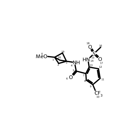 COC12CC(NC(=O)c3cc(C(F)(F)F)ccc3NS(C)(=O)=O)(C1)C2